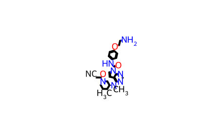 C[C@@H]1CCN(C(=O)CC#N)C[C@@H]1N(C)c1ncnc2c1ccn2C(=O)Nc1ccc(OCCN)cc1